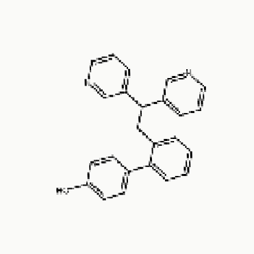 Oc1ccc(-c2ccccc2CC(c2cccnc2)c2cccnc2)cc1